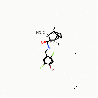 O=C(O)[C@H]1[C@H](C(=O)NCc2cc(F)c(Br)cc2F)[C@@H]2C=C[C@H]1C21CC1